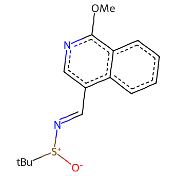 COc1ncc(C=N[S+]([O-])C(C)(C)C)c2ccccc12